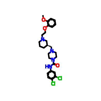 COc1ccccc1OCCN1CCC[C@@H](CN2CCN(C(=O)Nc3ccc(Cl)c(Cl)c3)CC2)C1